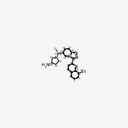 CCc1cccc2ccc(-c3nnc4ccc([C@H](C)N5CC[C@H](N)C5)cn34)nc12